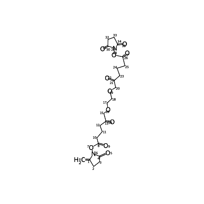 C=C1CCC(=O)N1OC(=O)CCCC(=O)COCCOCC(=O)CCCC(=O)ON1C(=O)CCC1=O